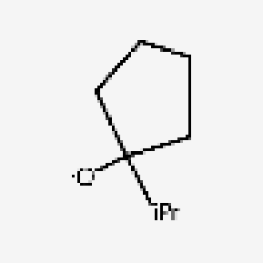 CC(C)C1([O])CCCC1